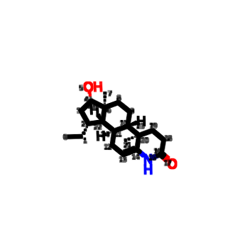 CC[C@@H]1C[C@H](O)[C@@]2(C)CC[C@H]3[C@@H](CC=C4NC(=O)CC[C@@]43C)[C@H]12